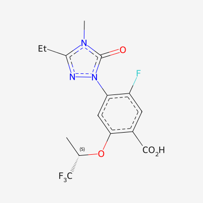 CCc1nn(-c2cc(O[C@@H](C)C(F)(F)F)c(C(=O)O)cc2F)c(=O)n1C